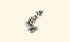 CC(C)(NS(=O)(=O)c1ccc(-c2ccc(Br)cc2)cc1)C(=O)NO